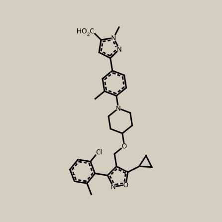 Cc1cc(-c2cc(C(=O)O)n(C)n2)ccc1N1CCC(OCc2c(-c3c(C)cccc3Cl)noc2C2CC2)CC1